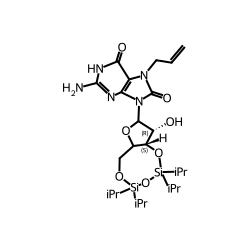 C=CCn1c(=O)n(C2OC3CO[Si](C(C)C)(C(C)C)O[Si](C(C)C)(C(C)C)O[C@H]3[C@H]2O)c2nc(N)[nH]c(=O)c21